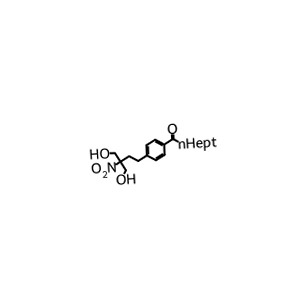 CCCCCCCC(=O)c1ccc(CCC(CO)(CO)[N+](=O)[O-])cc1